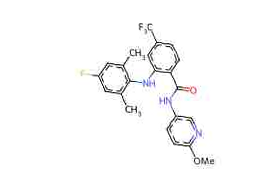 COc1ccc(NC(=O)c2ccc(C(F)(F)F)cc2Nc2c(C)cc(F)cc2C)cn1